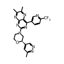 Cc1cc([C@@H]2CN(c3nc(-c4ccc(C(F)(F)F)nc4)c4nc(C)c(C)nc4n3)CCO2)cnn1